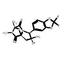 CN1C(=O)[C@@]23C[C@](C)(C#N)[C@H](c4ccc5c(c4)OC(F)(F)O5)N2C(=O)[C@]1(C)S3